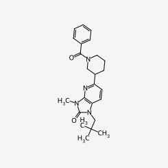 Cn1c(=O)n(CC(C)(C)C)c2ccc(C3CCCN(C(=O)c4ccccc4)C3)nc21